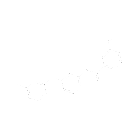 Cc1cc(Oc2ccnc(NC(=O)c3cccc([N+](=O)[O-])c3)c2)ccn1